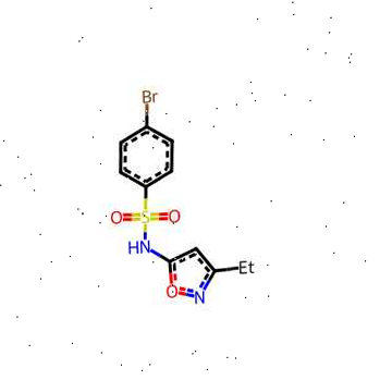 CCc1cc(NS(=O)(=O)c2ccc(Br)cc2)on1